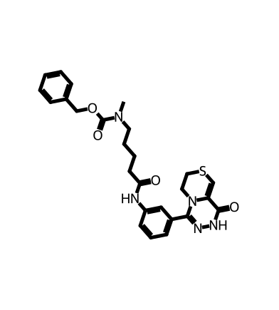 CN(CCCCC(=O)Nc1cccc(C2=NNC(=O)C3=CSCCN32)c1)C(=O)OCc1ccccc1